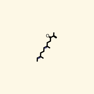 C=C(C)C(=O)CC/C(C)=C/CC/C(C)=C/C